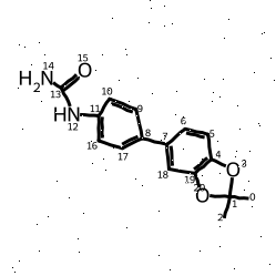 CC1(C)Oc2ccc(-c3ccc(NC(N)=O)cc3)cc2O1